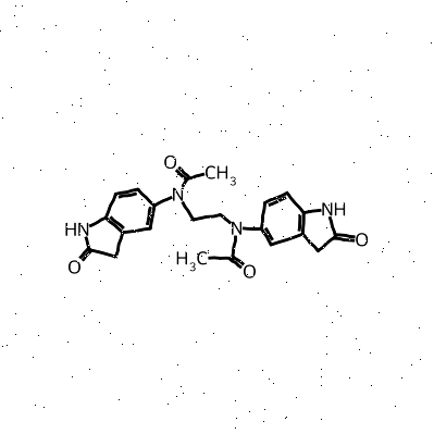 CC(=O)N(CCN(C(C)=O)c1ccc2c(c1)CC(=O)N2)c1ccc2c(c1)CC(=O)N2